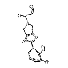 O=C[C@H](Cl)N1Cc2nc(-c3cccc(Br)c3Cl)oc2C1